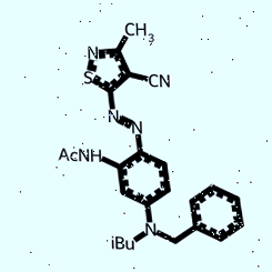 CCC(C)N(Cc1ccccc1)c1ccc(/N=N/c2snc(C)c2C#N)c(NC(C)=O)c1